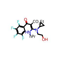 CCCNC(=C(C(=O)OCC)C(=O)c1cc(F)c(F)c(F)c1F)N(CCO)C1CC1